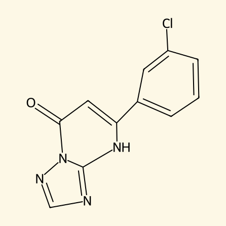 O=c1cc(-c2cccc(Cl)c2)[nH]c2ncnn12